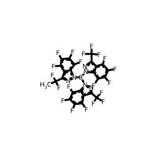 CC(F)(F)c1nn(B(n2nc(C(F)(F)F)c3c(F)c(F)c(F)c(F)c32)n2nc(C(F)(F)F)c3c(F)c(F)c(F)c(F)c32)c2c(F)c(F)c(F)c(F)c12